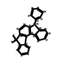 CC1(C)c2ccccc2-c2c1ccc1c2c2ccccc2n1-c1ccccc1